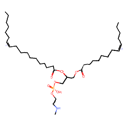 CCCC/C=C\CCCCCCCC(=O)OCC(COP(=O)(O)OCCNC)OC(=O)CCCCCCCCC/C=C\CCCCCC